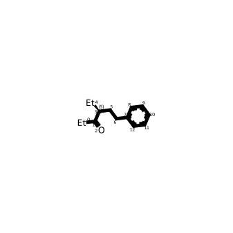 CCC(=O)[C@@H](CC)CCc1ccccc1